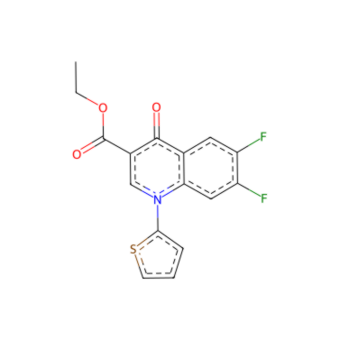 CCOC(=O)c1cn(-c2cccs2)c2cc(F)c(F)cc2c1=O